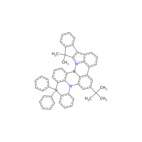 CC(C)(C)c1cc2c3c(c1)N1c4ccccc4[Si](c4ccccc4)(c4ccccc4)c4cccc(c41)B3n1c3c(c4cccc-2c41)-c1ccccc1C3(C)C